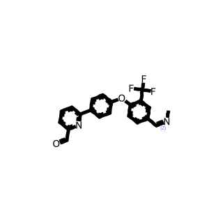 C/N=C\c1ccc(Oc2ccc(-c3cccc(C=O)n3)cc2)c(C(F)(F)F)c1